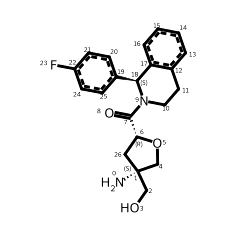 N[C@@]1(CO)CO[C@@H](C(=O)N2CCc3ccccc3[C@@H]2c2ccc(F)cc2)C1